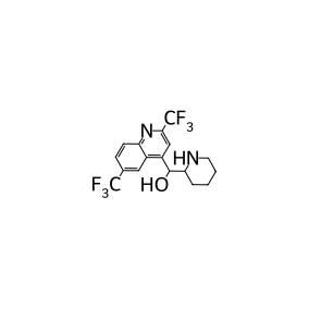 OC(c1cc(C(F)(F)F)nc2ccc(C(F)(F)F)cc12)C1CCCCN1